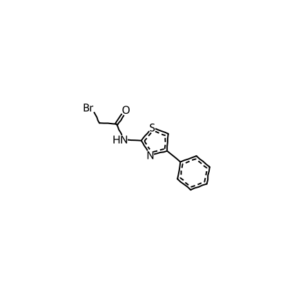 O=C(CBr)Nc1nc(-c2ccccc2)cs1